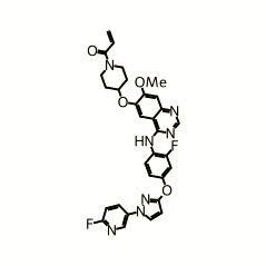 C=CC(=O)N1CCC(Oc2cc3c(Nc4ccc(Oc5ccn(-c6ccc(F)nc6)n5)cc4F)ncnc3cc2OC)CC1